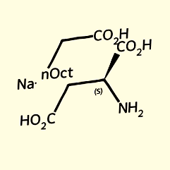 CCCCCCCCCC(=O)O.N[C@@H](CC(=O)O)C(=O)O.[Na]